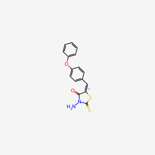 NN1C(=O)/C(=C\c2ccc(Oc3ccccc3)cc2)SC1=S